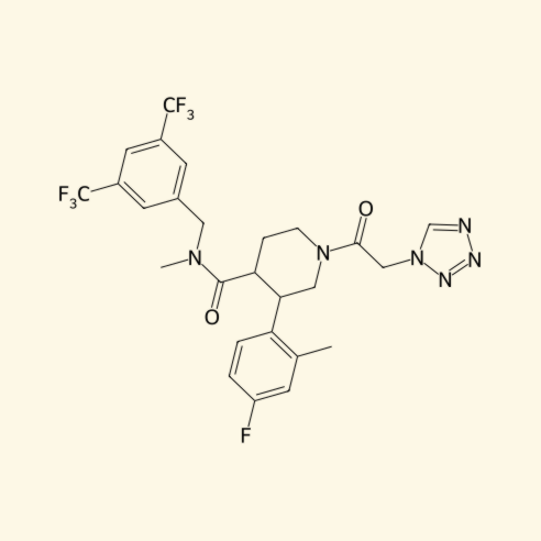 Cc1cc(F)ccc1C1CN(C(=O)Cn2cnnn2)CCC1C(=O)N(C)Cc1cc(C(F)(F)F)cc(C(F)(F)F)c1